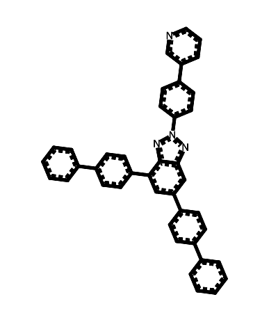 c1ccc(-c2ccc(-c3cc(-c4ccc(-c5ccccc5)cc4)c4nn(-c5ccc(-c6cccnc6)cc5)nc4c3)cc2)cc1